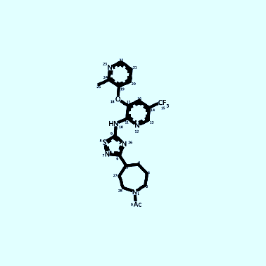 CC(=O)N1CCCC(c2nsc(Nc3ncc(C(F)(F)F)cc3Oc3cccnc3C)n2)CC1